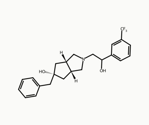 OC(CN1C[C@@H]2C[C@@](O)(Cc3ccccc3)C[C@@H]2C1)c1cccc(C(F)(F)F)c1